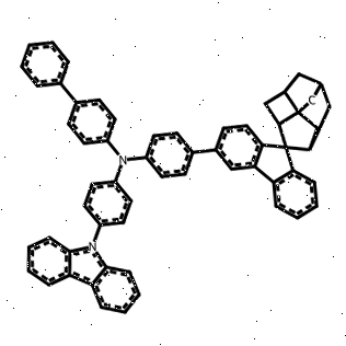 c1ccc(-c2ccc(N(c3ccc(-c4ccc5c(c4)-c4ccccc4C54C5CC6CC7CC4C7(C6)C5)cc3)c3ccc(-n4c5ccccc5c5ccccc54)cc3)cc2)cc1